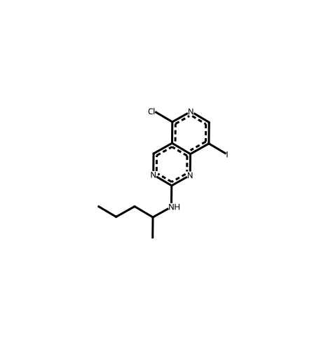 CCCC(C)Nc1ncc2c(Cl)ncc(I)c2n1